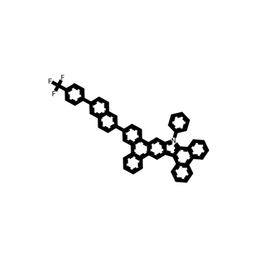 FC(F)(F)c1ccc(-c2ccc3cc(-c4ccc5c(c4)c4ccccc4c4cc6c7c8ccccc8c8ccccc8c7n(-c7ccccc7)c6cc54)ccc3c2)cc1